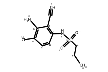 C#Cc1c(NS(=O)(=O)CCC)ccc(Cl)c1N